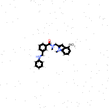 CN(Cc1cc2c([N+](=O)[O-])cccc2n1C)C(=O)c1cccc(CNc2ccccc2)c1